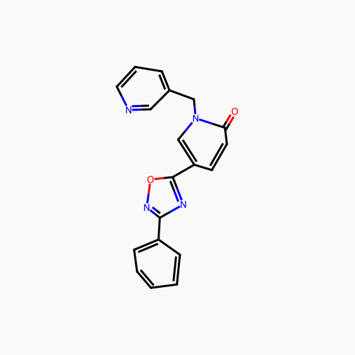 O=c1ccc(-c2nc(-c3ccccc3)no2)cn1Cc1cccnc1